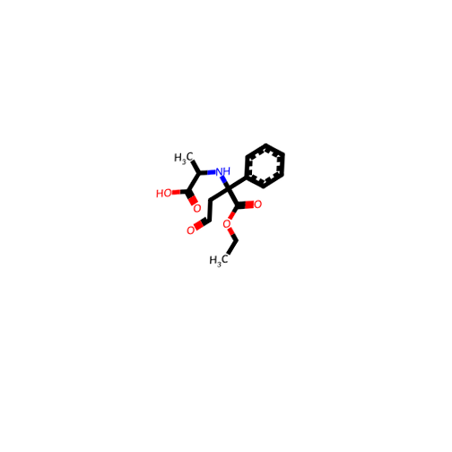 CCOC(=O)C(CC=O)(NC(C)C(=O)O)c1ccccc1